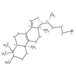 CC(=O)OC1CC[C@]2(C)C3=C(CCC2C1(C)C)C1=CC[C@H]([C@H](C)CCCC(C)C)[C@@]1(C)CC3